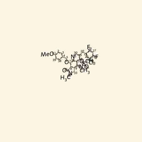 COc1ccc(COc2c3c(c(N(C)S(C)(=O)=O)c4cc(Cc5cc(Cl)c(F)cc5F)cnc24)CN(C)C3=O)cc1